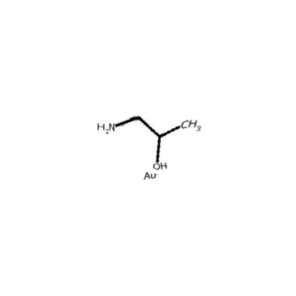 CC(O)CN.[Au]